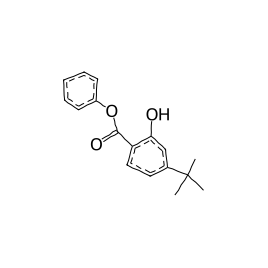 CC(C)(C)c1ccc(C(=O)Oc2ccccc2)c(O)c1